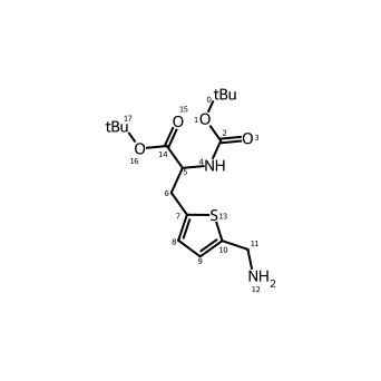 CC(C)(C)OC(=O)NC(Cc1ccc(CN)s1)C(=O)OC(C)(C)C